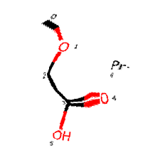 COCC(=O)O.[Pr]